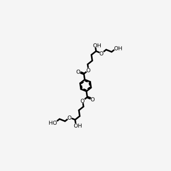 O=C(OCCCC(O)OCCO)c1ccc(C(=O)OCCCC(O)OCCO)cc1